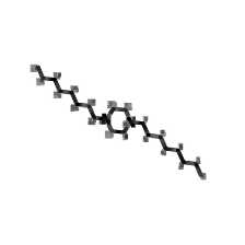 CCCCCCCCN1CCN(CCCCCCCC)CC1